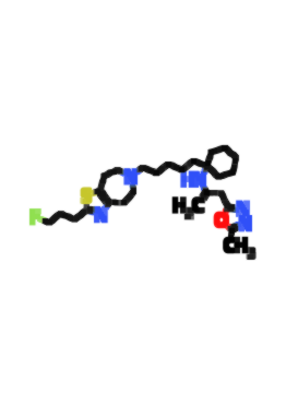 C=C(Cc1nnc(C)o1)NC1(CCCCCN2CCc3nc(CCCF)sc3CC2)CCCCC1